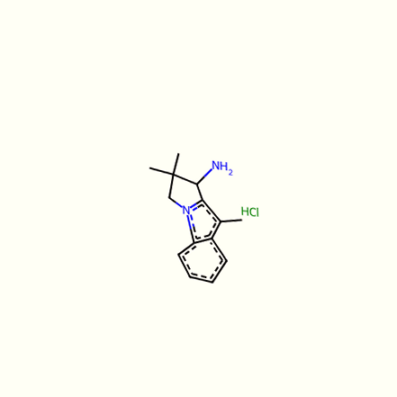 Cc1c2n(c3ccccc13)CC(C)(C)C2N.Cl